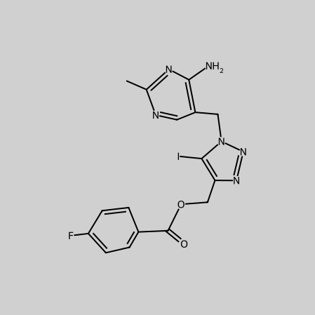 Cc1ncc(Cn2nnc(COC(=O)c3ccc(F)cc3)c2I)c(N)n1